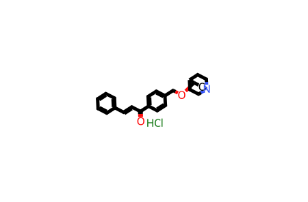 Cl.O=C(C=Cc1ccccc1)c1ccc(COC2CN3CCC2CC3)cc1